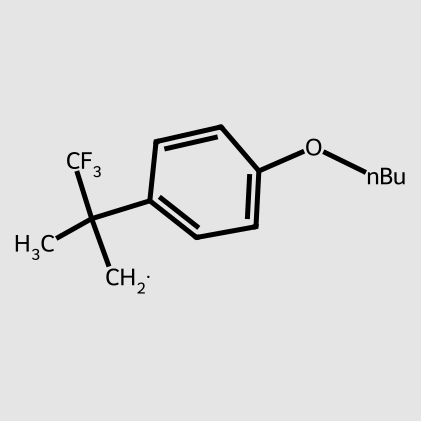 [CH2]C(C)(c1ccc(OCCCC)cc1)C(F)(F)F